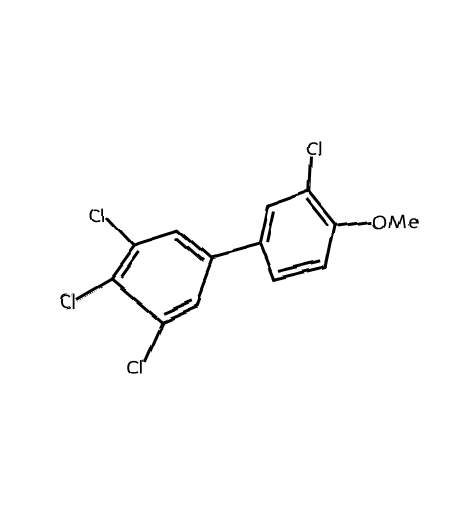 COc1ccc(-c2cc(Cl)c(Cl)c(Cl)c2)cc1Cl